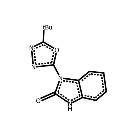 CC(C)(C)c1nnc(-n2c(=O)[nH]c3ccccc32)o1